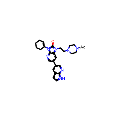 CC(=O)N1CCN(CCn2c(=O)n(C3=CCCCC3)c3ncc(-c4cnc5[nH]ccc5c4)cc32)CC1